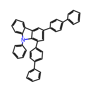 c1ccc(-c2ccc(-c3cc(-c4ccc(-c5ccccc5)cc4)c4c(c3)c3ccccc3n4-c3ccccc3)cc2)cc1